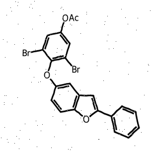 CC(=O)Oc1cc(Br)c(Oc2ccc3oc(-c4ccccc4)cc3c2)c(Br)c1